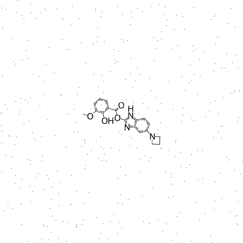 COc1cccc(C(=O)Oc2nc3cc(N4CCC4)ccc3[nH]2)c1O